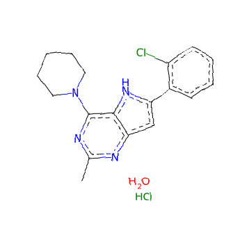 Cc1nc(N2CCCCC2)c2[nH]c(-c3ccccc3Cl)cc2n1.Cl.O